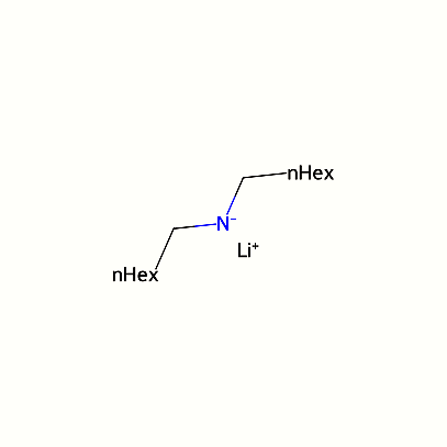 CCCCCCC[N-]CCCCCCC.[Li+]